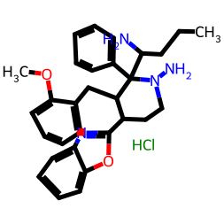 CCCC(N)C1(c2ccccc2)C(Cc2ccccc2OC)C(c2nc3ccccc3o2)CCN1N.Cl